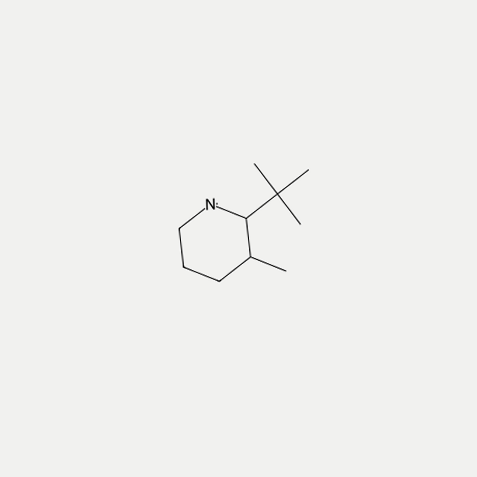 CC1CCC[N]C1C(C)(C)C